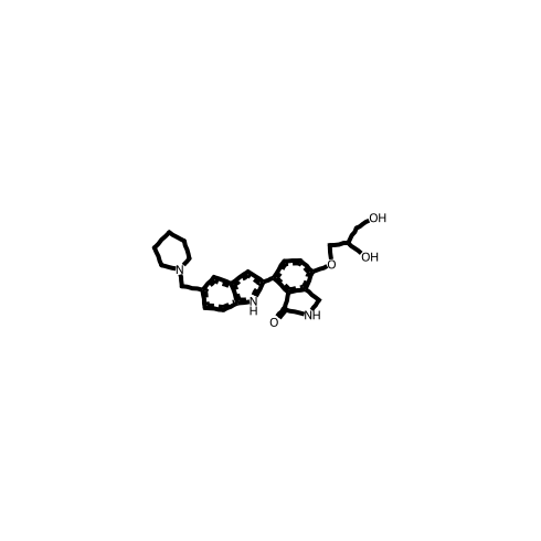 O=C1NCc2c(OCC(O)CO)ccc(-c3cc4cc(CN5CCCCC5)ccc4[nH]3)c21